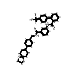 O=C(NCc1ccc(C2CCC3(CC2)OCCO3)cc1)c1cccc(NC(=O)c2ccccc2-c2ccc(C(F)(F)F)cc2)c1